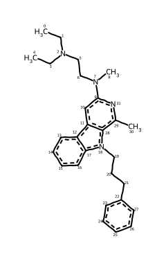 CCN(CC)CCN(C)c1cc2c3ccccc3n(CCCc3ccccc3)c2c(C)n1